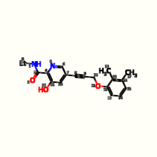 CCNC(=O)c1ncc(C#CCOc2cccc(C)c2C)cc1O